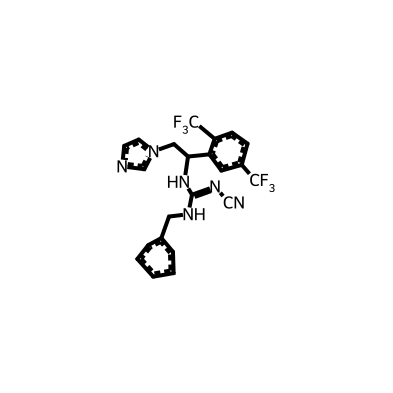 N#C/N=C(\NCc1ccccc1)NC(Cn1ccnc1)c1cc(C(F)(F)F)ccc1C(F)(F)F